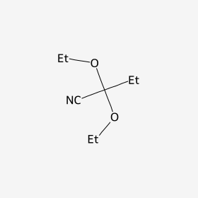 CCOC(C#N)(CC)OCC